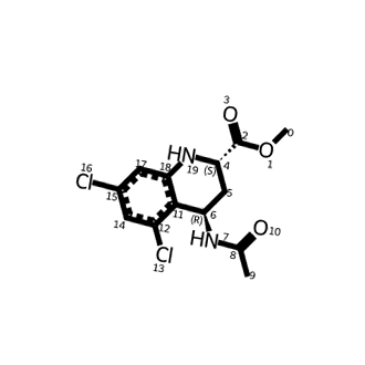 COC(=O)[C@@H]1C[C@@H](NC(C)=O)c2c(Cl)cc(Cl)cc2N1